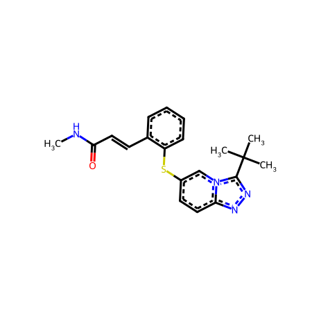 CNC(=O)/C=C/c1ccccc1Sc1ccc2nnc(C(C)(C)C)n2c1